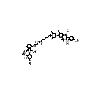 CCc1cc2c(cc1N1CC(C)N(CCCCCC(=O)NCCNc3cccc4c(=C=O)n(C5CCC(=C=O)NC5=C=O)c(=C=O)c34)C(C)C1)C(C)(C)c1[nH]c3cc(C#N)ccc3c1C2=C=O